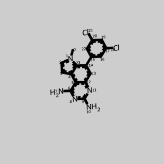 Cn1ccc2c3c(N)nc(N)nc3cc(-c3cc(Cl)cc(Cl)c3)c21